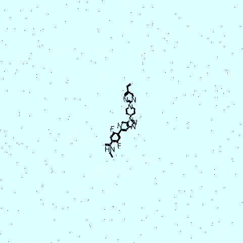 C=C(NCC)c1cc(F)c(-c2cc3nnn(C4CCN(c5ncc(CC)cn5)CC4)c3cn2)cc1F